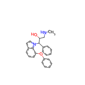 CNCC(O)C(c1ccccc1)n1ccc2cccc(Oc3ccccc3)c21